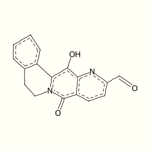 O=Cc1ccc2c(=O)n3c(c(O)c2n1)-c1ccccc1CC3